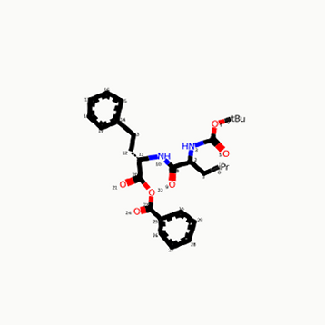 CC(C)CC(NC(=O)OC(C)(C)C)C(=O)N[C@@H](CCc1ccccc1)C(=O)OC(=O)c1ccccc1